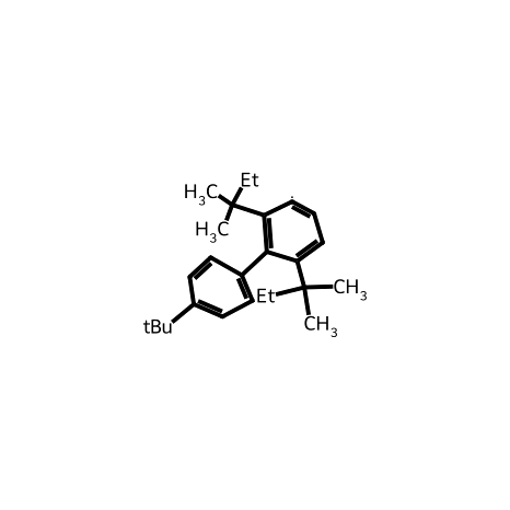 CCC(C)(C)c1[c]ccc(C(C)(C)CC)c1-c1ccc(C(C)(C)C)cc1